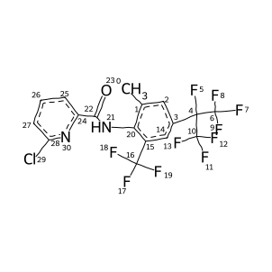 Cc1cc(C(F)(C(F)(F)F)C(F)(F)F)cc(C(F)(F)F)c1NC(=O)c1cccc(Cl)n1